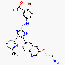 Cc1cccc(-c2nc(CNc3ccc(Br)c(C(=O)O)c3)[nH]c2-c2ccc3ncc(OCCN)cc3c2)n1